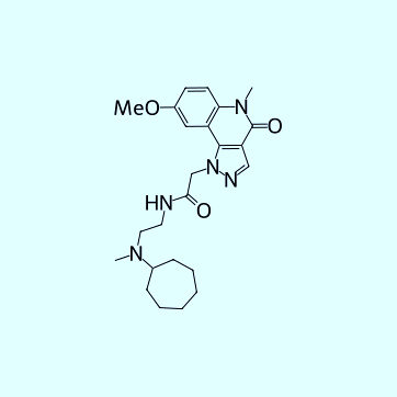 COc1ccc2c(c1)c1c(cnn1CC(=O)NCCN(C)C1CCCCCC1)c(=O)n2C